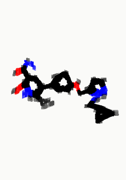 NC(=O)c1cc(-c2ccc(OCc3ccnn3CC3CC3)cc2)c(C(F)(F)F)[nH]c1=O